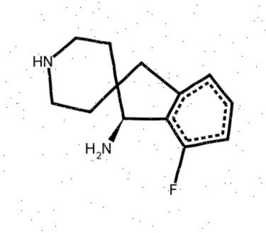 N[C@@H]1c2c(F)cccc2CC12CCNCC2